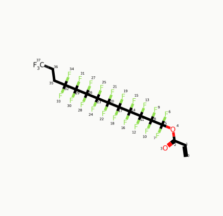 C=CC(=O)OC(F)(F)C(F)(F)C(F)(F)C(F)(F)C(F)(F)C(F)(F)C(F)(F)C(F)(F)C(F)(F)C(F)(F)CCC(F)(F)F